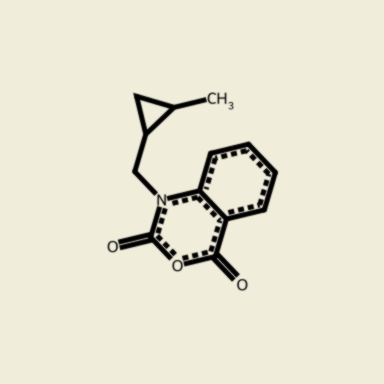 CC1CC1Cn1c(=O)oc(=O)c2ccccc21